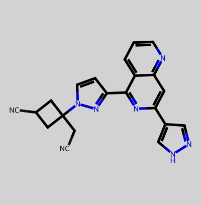 N#CCC1(n2ccc(-c3nc(-c4cn[nH]c4)cc4ncccc34)n2)CC(C#N)C1